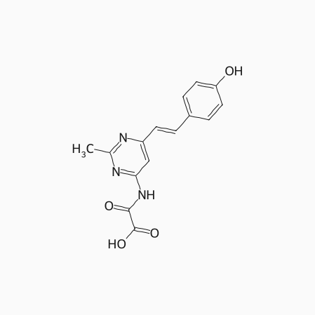 Cc1nc(C=Cc2ccc(O)cc2)cc(NC(=O)C(=O)O)n1